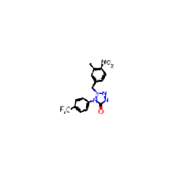 Cc1cc(Cn2nnc(=O)n2-c2ccc(C(F)(F)F)cc2)ccc1[N+](=O)[O-]